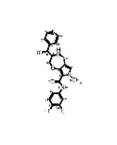 Cn1cc2c(c1C(=O)Nc1ccc(F)c(F)c1)OCC(C(O)c1ccncc1)NS2